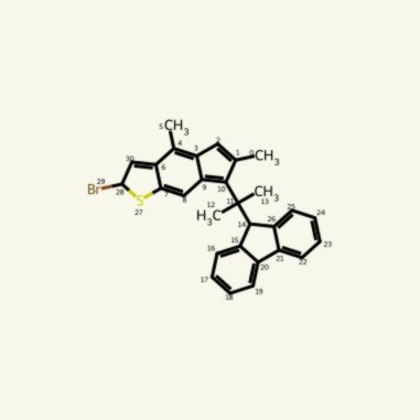 CC1=Cc2c(C)c3c(cc2=C1C(C)(C)C1c2ccccc2-c2ccccc21)SC(Br)C=3